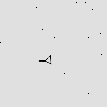 C=C1CC1